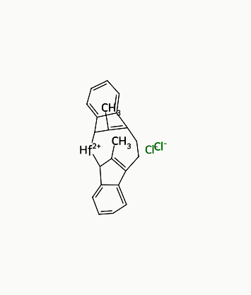 CC1=C2CCC3=C(C)[CH]([Hf+2][CH]1c1ccccc12)c1ccccc13.[Cl-].[Cl-]